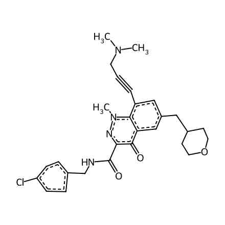 CN(C)CC#Cc1cc(CC2CCOCC2)cc2c(=O)c(C(=O)NCc3ccc(Cl)cc3)nn(C)c12